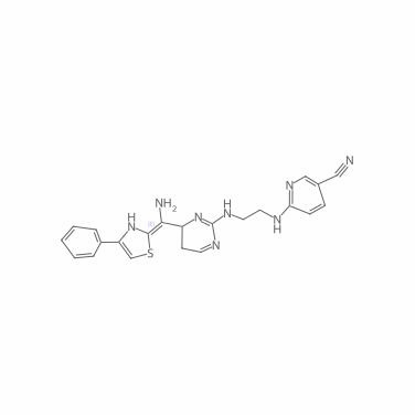 N#Cc1ccc(NCCNC2=NC(/C(N)=C3/NC(c4ccccc4)=CS3)CC=N2)nc1